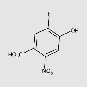 O=C(O)c1cc(F)c(O)cc1[N+](=O)[O-]